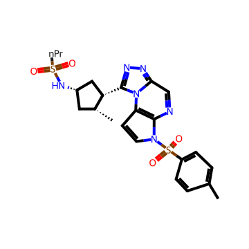 CCCS(=O)(=O)N[C@H]1C[C@@H](C)[C@@H](c2nnc3cnc4c(ccn4S(=O)(=O)c4ccc(C)cc4)n23)C1